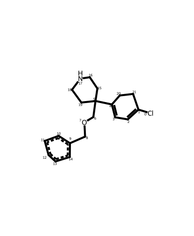 ClC1=CC=C(C2(COCc3ccccc3)CCNCC2)CC1